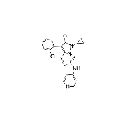 O=c1c(-c2ccccc2Cl)c2ncc(Nc3ccncc3)cn2n1C1CC1